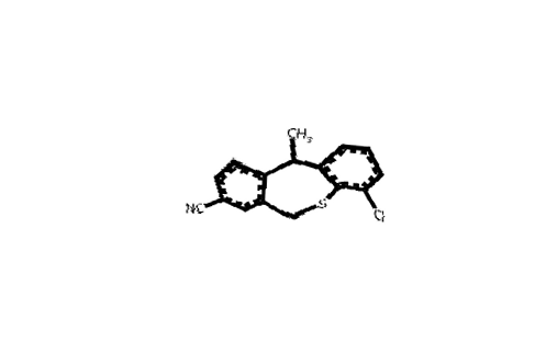 CC1c2ccc(C#N)cc2CSc2c(Cl)cccc21